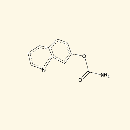 NC(=O)Oc1ccc2cccnc2c1